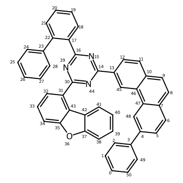 c1ccc(-c2ccc3ccc4ccc(-c5nc(-c6ccccc6-c6ccccc6)nc(-c6cccc7oc8ccccc8c67)n5)cc4c3c2)cc1